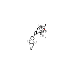 Cn1nc(C(F)(C(F)(F)F)C(F)(F)F)c(OC(F)F)c1-n1cc(-c2ccc(Cl)c(C(=O)N(CC#N)C3CC3)c2)cn1